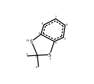 CC1(C)Sc2ccccc2S1